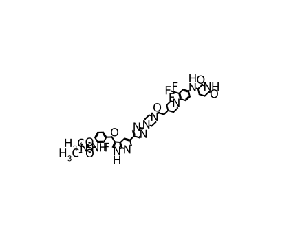 CCN(C)S(=O)(=O)Nc1cccc(C(=O)c2c[nH]c3ncc(-c4cnc(N5CCN(C(=O)CC6CCN(c7ccc(NC8CCC(=O)NC8=O)cc7C(F)(F)F)CC6)CC5)nc4)cc23)c1F